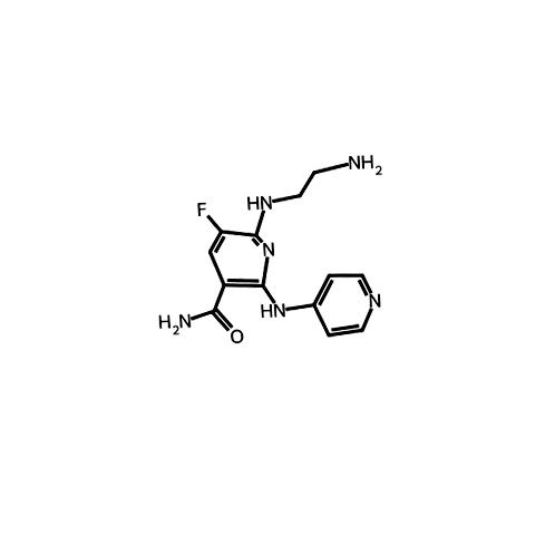 NCCNc1nc(Nc2ccncc2)c(C(N)=O)cc1F